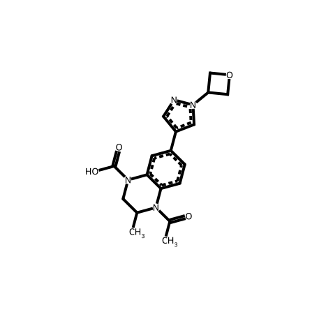 CC(=O)N1c2ccc(-c3cnn(C4COC4)c3)cc2N(C(=O)O)CC1C